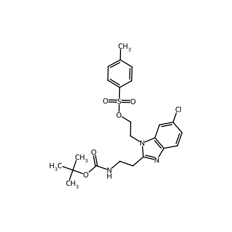 Cc1ccc(S(=O)(=O)OCCn2c(CCNC(=O)OC(C)(C)C)nc3ccc(Cl)cc32)cc1